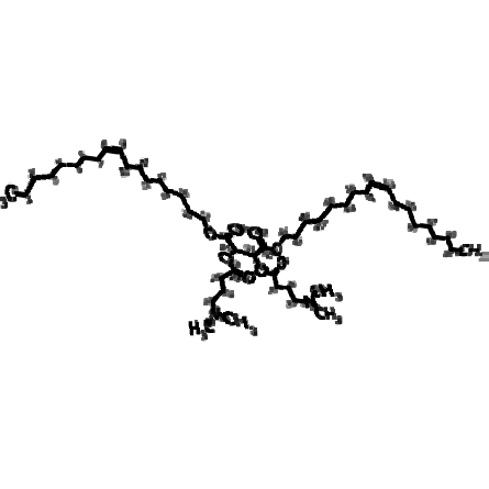 CCCCCCCC/C=C\CCCCCCCCOC(=O)C(OC(=O)CCCN(C)C)C(OC(=O)CCCN(C)C)C(=O)OCCCCCCCC/C=C\CCCCCCCC